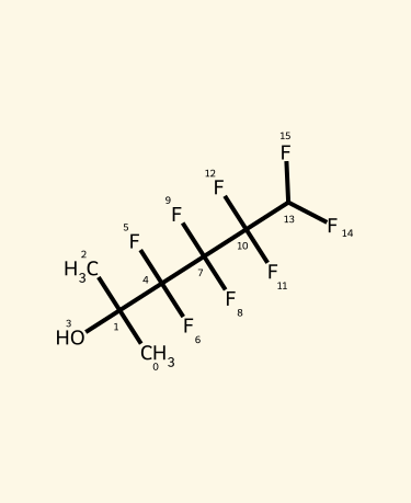 CC(C)(O)C(F)(F)C(F)(F)C(F)(F)C(F)F